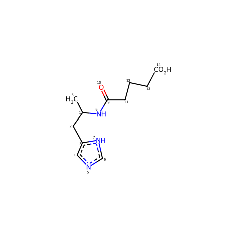 CC(Cc1cnc[nH]1)NC(=O)CCCC(=O)O